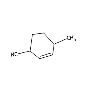 CC1C=CC(C#N)CC1